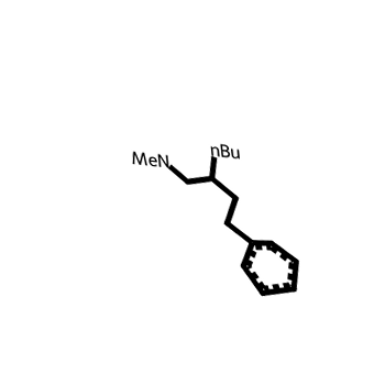 CCCCC(CCc1ccccc1)CNC